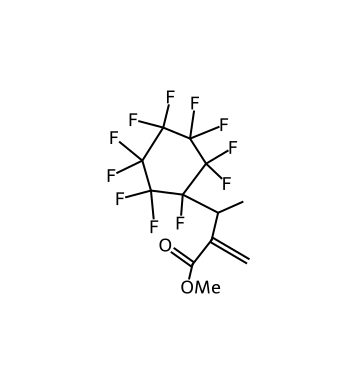 C=C(C(=O)OC)C(C)C1(F)C(F)(F)C(F)(F)C(F)(F)C(F)(F)C1(F)F